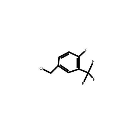 [O]Cc1ccc(F)c(C(F)(F)F)c1